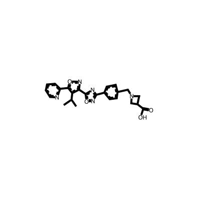 CC(C)c1c(-c2nc(-c3ccc(CN4CC(C(=O)O)C4)cc3)no2)noc1-c1ccccn1